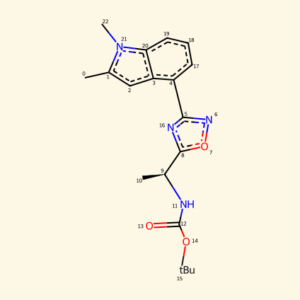 Cc1cc2c(-c3noc([C@H](C)NC(=O)OC(C)(C)C)n3)cccc2n1C